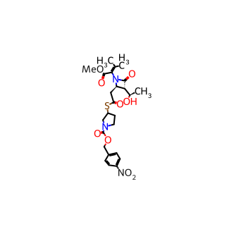 COC(=O)C(=C(C)C)N1C(=O)[C@H]([C@@H](C)O)[C@H]1CC(=O)S[C@H]1CCN(C(=O)OCc2ccc([N+](=O)[O-])cc2)C1